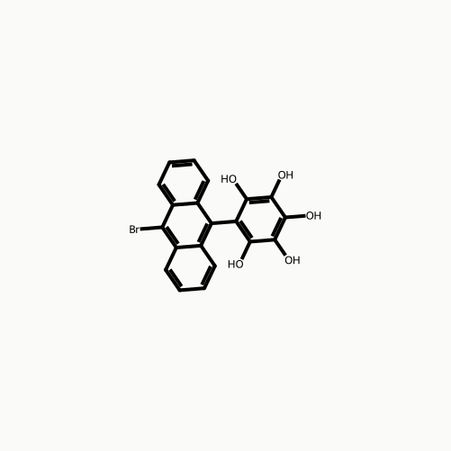 Oc1c(O)c(O)c(-c2c3ccccc3c(Br)c3ccccc23)c(O)c1O